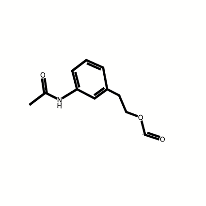 CC(=O)Nc1cccc(CCO[C]=O)c1